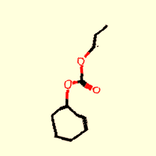 CC[CH]OC(=O)OC1CCCCC1